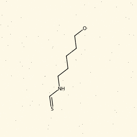 [O]CCCCCNC=S